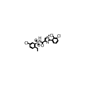 CCc1ccc(Cl)cc1S(=O)(=O)NC(=O)c1cn(C)c(-c2cccc(Cl)c2Cl)n1